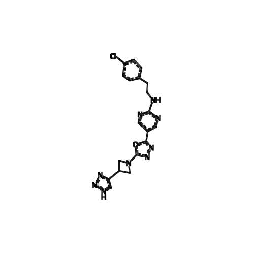 Clc1ccc(CCNc2ncc(-c3nnc(N4CC(c5c[nH]nn5)C4)o3)cn2)cc1